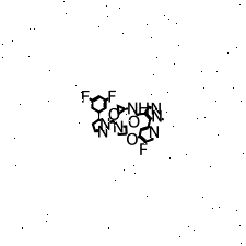 Cn1ncc(C(=O)NC2CC2)c1-c1cc(OC2CN(C(=O)N3N=CC[C@H]3C3C=C(F)C=C(F)C3)C2)c(F)cn1